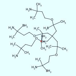 BC(C)(N)CCOC(C)(C)CC(CC(B)(C)OCCC(C)(C)N)(CC(B)(C)OCCC(C)(C)N)CC(C)(C)OCCC(B)(C)N